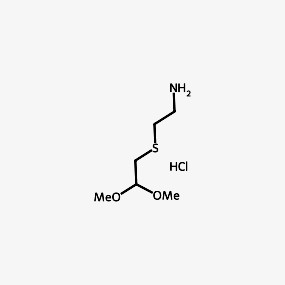 COC(CSCCN)OC.Cl